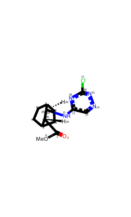 COC(=O)[C@@H]1C2CCC(CC2)[C@H]1Nc1cnnc(Cl)n1